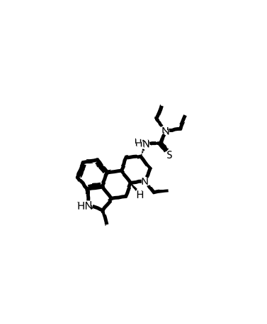 CCN(CC)C(=S)N[C@H]1CC2c3cccc4c3C(C[C@H]2N(CC)C1)C(C)N4